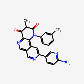 CC1C(=O)c2ncc3cnc(-c4ccc(N)nc4)cc3c2N(c2cccc(C(F)(F)F)c2)C1=O